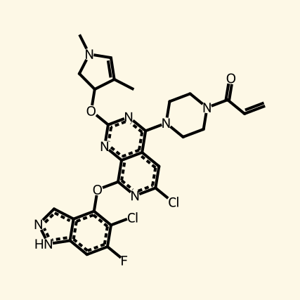 C=CC(=O)N1CCN(c2nc(OC3CN(C)C=C3C)nc3c(Oc4c(Cl)c(F)cc5[nH]ncc45)nc(Cl)cc23)CC1